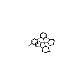 Fc1ccc2c(c1)C1(C3=C2C=CC3)c2ccccc2-c2cccc(-c3ccc(Cl)cc3)c21